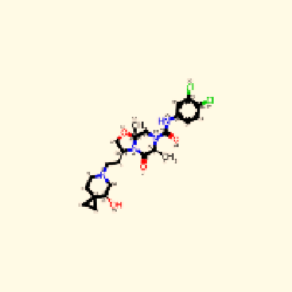 C[C@H]1C(=O)N2[C@@H](CCN3CCC4(CC4)[C@H](O)C3)CO[C@]2(C)CN1C(=O)Nc1ccc(Cl)c(Cl)c1